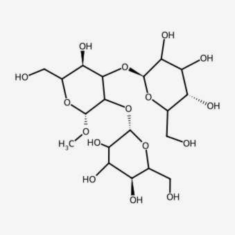 CO[C@@H]1OC(CO)[C@@H](O)C(O[C@@H]2OC(CO)[C@@H](O)C(O)C2O)C1O[C@@H]1OC(CO)[C@@H](O)C(O)C1O